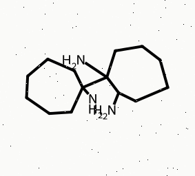 NC1CCCCCC1(N)C1(N)CCCCCC1